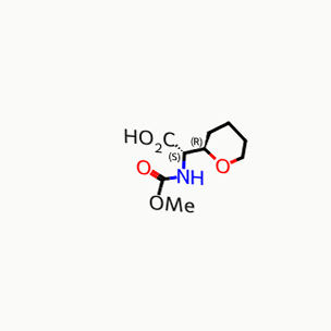 COC(=O)N[C@H](C(=O)O)[C@H]1CCCCO1